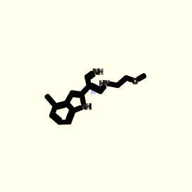 COCCN/C=C(\C=N)c1cc2c(C)cccc2[nH]1